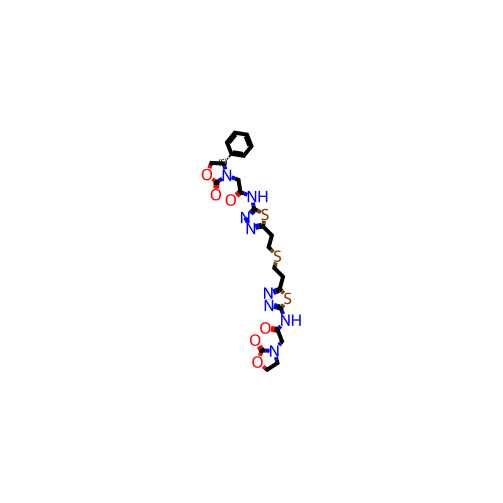 O=C(CN1CCOC1=O)Nc1nnc(CCSCCc2nnc(NC(=O)CN3C(=O)OC[C@@H]3c3ccccc3)s2)s1